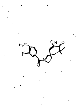 CC1(C)C[C@@]2(C=C(C#N)C1=O)CCN(C(=O)c1ccc(C(F)(F)F)c(F)c1)C2